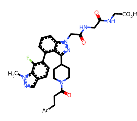 CC(=O)CCC(=O)N1CCC(c2nn(CC(=O)NCC(=O)NCC(=O)O)c3cccc(-c4ccc5cnn(C)c5c4F)c23)CC1